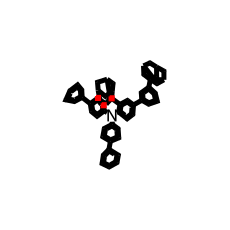 c1ccc(-c2ccc(N(c3ccc(-c4ccccc4)cc3)c3ccc(-c4cccc(C56CC7CC(CC(C7)C5)C6)c4)cc3C3C4CC5CC(C4)CC3C5)cc2)cc1